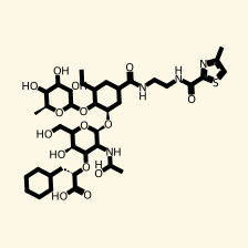 CCC1CC(C(=O)NCCNC(=O)c2nc(C)cs2)C[C@@H](O[C@@H]2OC(CO)[C@H](O)C(O[C@@H](CC3CCCCC3)C(=O)O)C2NC(C)O)C1OC1O[C@@H](C)C(O)C(O)[C@@H]1O